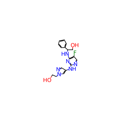 OCCn1cc(Nc2ncc(F)c(NC(CO)c3ccccc3)n2)cn1